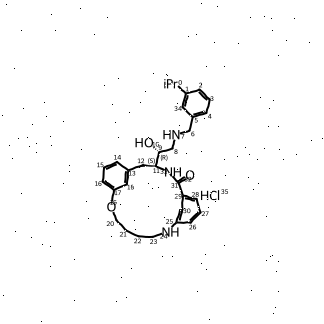 CC(C)c1cccc(CNC[C@@H](O)[C@@H]2Cc3cccc(c3)OCCCCNc3cccc(c3)C(=O)N2)c1.Cl